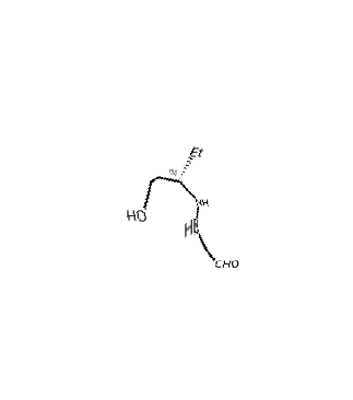 CC[C@@H](CO)NBC=O